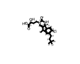 CC(C)C1=CN(CC[C@@H](O)C(=O)O)C(=O)N[C@]1(C)c1ccc(CCC(C)(C)C)c(Cl)c1